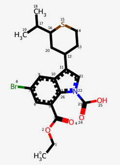 CCOC(=O)c1cc(Br)cc2c(C3CCSC(C(C)C)C3)cn(C(=O)O)c12